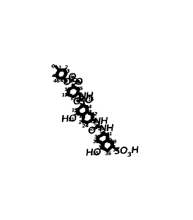 Cc1ccc(OS(=O)(=O)c2cccc(NS(=O)(=O)c3cc(O)c4ccc(NC(=O)Nc5ccc6c(O)cc(S(=O)(=O)O)cc6c5)cc4c3)c2)cc1